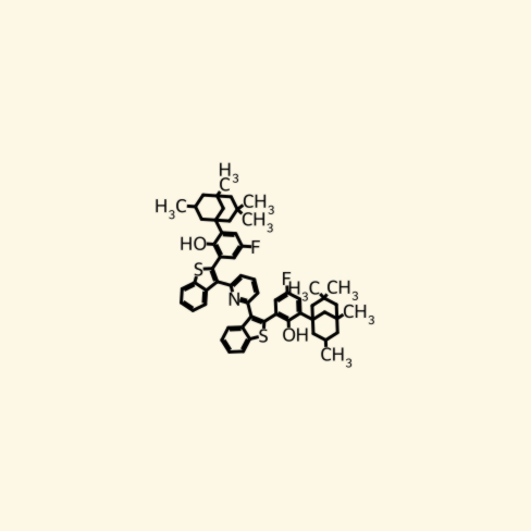 CC1CC2(C)CC(C)(C)CC(c3cc(F)cc(-c4sc5ccccc5c4-c4cccc(-c5c(-c6cc(F)cc(C78CC(C)CC(C)(CC(C)(C)C7)C8)c6O)sc6ccccc56)n4)c3O)(C1)C2